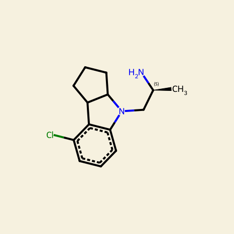 C[C@H](N)CN1c2cccc(Cl)c2C2CCCC21